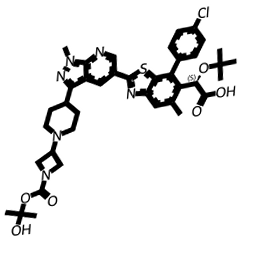 Cc1cc2nc(-c3cnc4c(c3)c(C3CCN(C5CN(C(=O)OC(C)(C)O)C5)CC3)nn4C)sc2c(-c2ccc(Cl)cc2)c1[C@H](OC(C)(C)C)C(=O)O